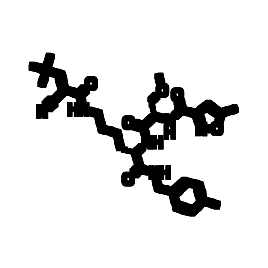 COC[C@H](NC(=O)c1cc(C)on1)C(=O)N[C@@H](CCCCNC(=O)C(C#N)=CC(C)(C)C)C(=O)NCc1ccc(C)cc1